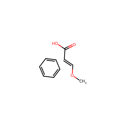 COC=CC(=O)O.c1ccccc1